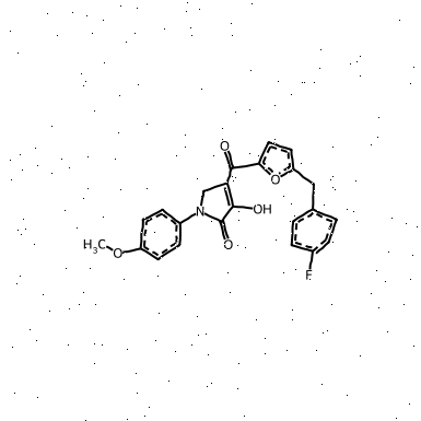 COc1ccc(N2CC(C(=O)c3ccc(Cc4ccc(F)cc4)o3)=C(O)C2=O)cc1